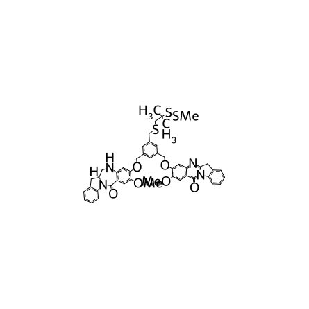 COc1cc2c(cc1OCc1cc(COc3cc4nc5n(c(=O)c4cc3OC)-c3ccccc3C5)cc(CSCC(C)(C)SSC)c1)NC[C@@H]1Cc3ccccc3N1C2=O